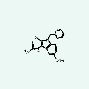 CCc1c(NC(N)=O)c2cc(OC)ccc2n1Cc1ccccc1